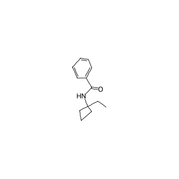 CCC1(NC(=O)c2ccccc2)CCC1